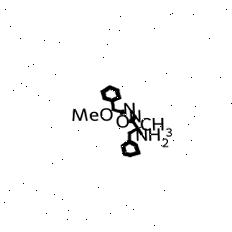 CO[C@H](c1ccccc1)c1nnc([C@@](C)(N)Cc2ccccc2)o1